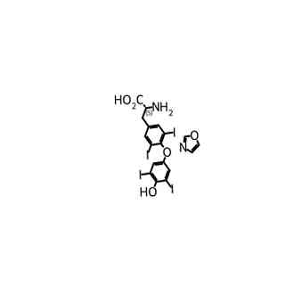 N[C@@H](Cc1cc(I)c(Oc2cc(I)c(O)c(I)c2)c(I)c1)C(=O)O.c1cocn1